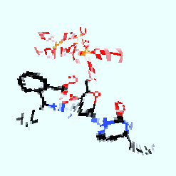 CC(=O)Nc1ccn(C2C[C@@H](OC(=O)c3ccccc3C(C)N)C(COP(=O)(O)OP(=O)(O)OP(=O)(O)O)O2)c(=O)n1